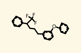 FC(F)(F)C(CCCc1cccc(Oc2ccccc2)c1)c1ccccc1